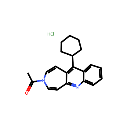 CC(=O)N1C=Cc2nc3ccccc3c(C3CCCCC3)c2C=C1.Cl